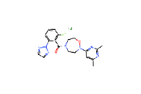 Cc1cc(N2CCN(C(=O)c3c(F)cccc3-n3nccn3)CCO2)nc(C)n1.Cl